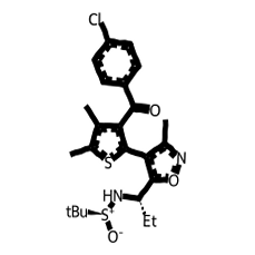 CC[C@H](N[S@@+]([O-])C(C)(C)C)c1onc(C)c1-c1sc(C)c(C)c1C(=O)c1ccc(Cl)cc1